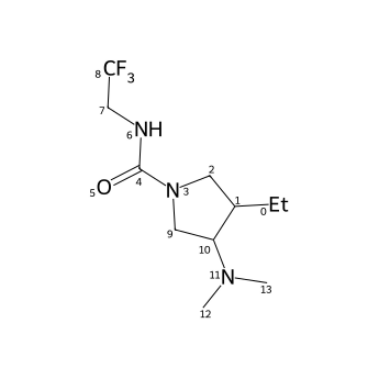 CCC1CN(C(=O)NCC(F)(F)F)CC1N(C)C